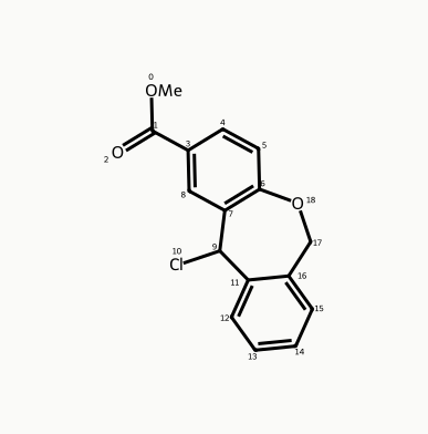 COC(=O)c1ccc2c(c1)C(Cl)c1ccccc1CO2